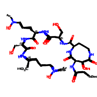 CCCCCCCCCCCC(=O)NC1C(=O)NC(C(=O)N[C@H](CO)C(=O)N[C@H](CCCN(O)C(C)=O)C(=O)N[C@@H](CO)C(=O)N[C@@H](CCCN(O)C(C)=O)C(=O)O)CCNC(=O)C1O